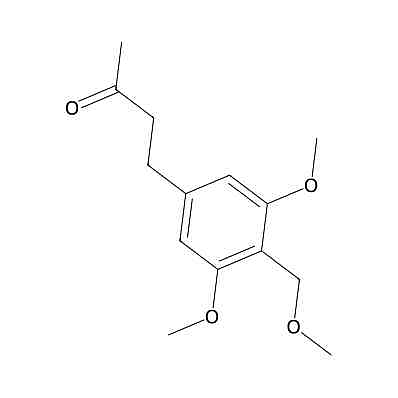 COCc1c(OC)cc(CCC(C)=O)cc1OC